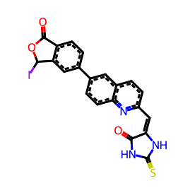 O=C1NC(=S)NC1=Cc1ccc2cc(-c3ccc4c(c3)C(I)OC4=O)ccc2n1